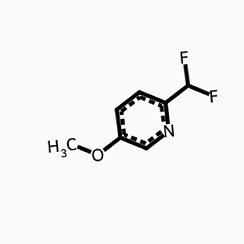 COc1ccc(C(F)F)nc1